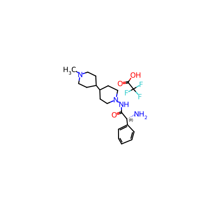 CN1CCC(C2CCN(NC(=O)[C@H](N)c3ccccc3)CC2)CC1.O=C(O)C(F)(F)F